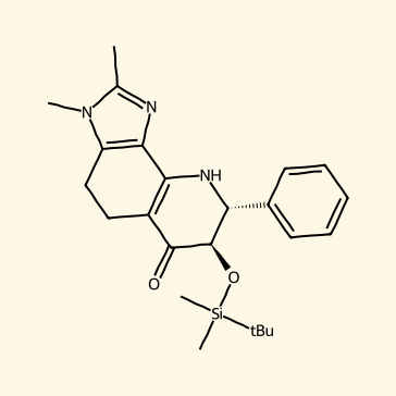 Cc1nc2c(n1C)CCC1=C2N[C@H](c2ccccc2)[C@@H](O[Si](C)(C)C(C)(C)C)C1=O